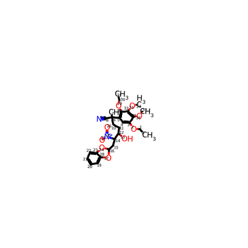 CCOc1cc(C(C)(C#N)CCC(O)C(CC2Oc3ccccc3O2)[N+](=O)[O-])c(OCC)c(OC)c1OC